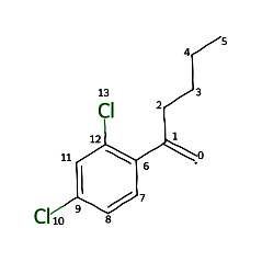 [CH]=C(CCCC)c1ccc(Cl)cc1Cl